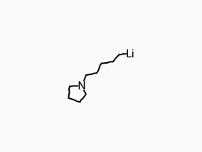 [Li][CH2]CCCCN1CCCC1